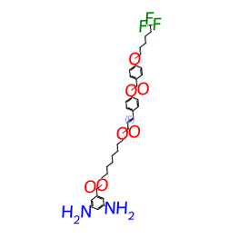 Nc1cc(N)cc(C(=O)OCCCCCCCCOC(=O)/C=C/c2ccc(OC(=O)c3ccc(OCCCCCC(F)(F)F)cc3)cc2)c1